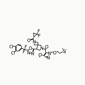 COc1cnn(COCC[Si](C)(C)C)c1C(=O)N1CC(c2nnc(C(F)(F)c3ccc(Cl)c(Cl)c3)o2)C2(C1)CN(C(=O)[C@H]1CC1(F)F)C2